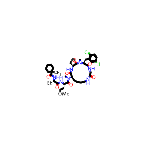 CC[C@H](NC(=O)C1(C(F)(F)F)CCCCC1)C(=O)N[C@@H](CCOC)C(=O)N(C)[C@H]1CCCCNC(=O)CNC(=O)[C@H](Cc2cc(Cl)ccc2Cl)N(C)C(=O)[C@H](CC(C)C)NC1=O